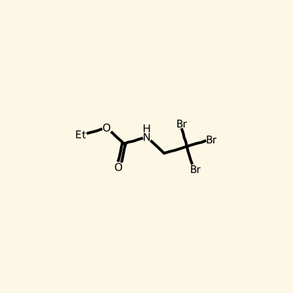 CCOC(=O)NCC(Br)(Br)Br